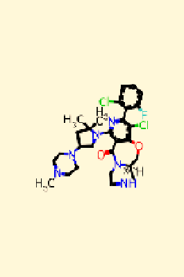 CN1CCN(C2CN(c3nc(-c4c(F)cccc4Cl)c(Cl)c4c3C(=O)N3CCNC[C@@H]3CO4)C(C)(C)C2)CC1